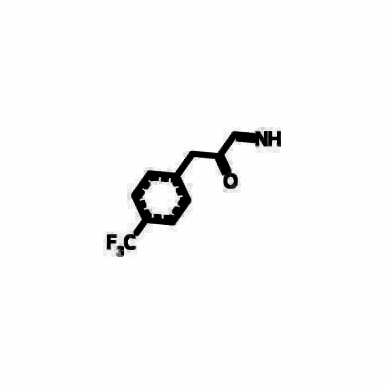 N=CC(=O)Cc1ccc(C(F)(F)F)cc1